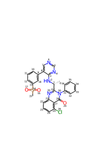 C[C@@H](Nc1ncncc1-c1cccc(S(C)(=O)=O)c1)c1nc2cccc(Cl)c2c(=O)n1-c1ccccc1